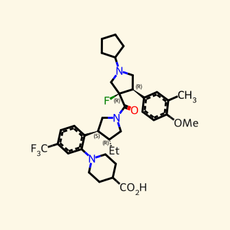 CC[C@H]1CN(C(=O)[C@]2(F)CN(C3CCCC3)C[C@H]2c2ccc(OC)c(C)c2)C[C@@H]1c1ccc(C(F)(F)F)cc1N1CCC(C(=O)O)CC1